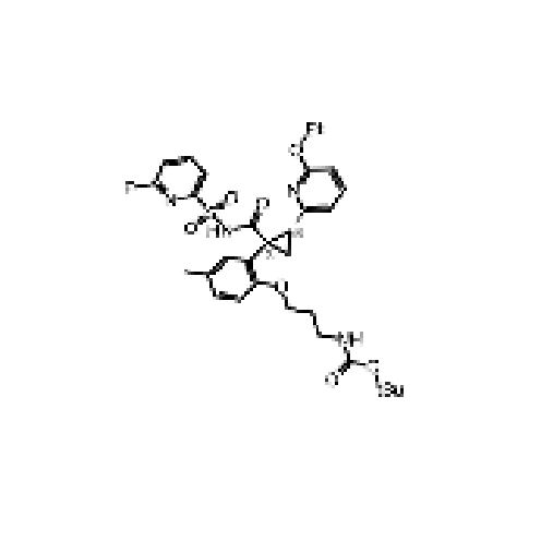 CCOc1cccc([C@@H]2C[C@]2(C(=O)NS(=O)(=O)c2cccc(F)n2)c2cc(C)ccc2OCCCNC(=O)OC(C)(C)C)n1